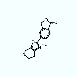 Cl.O=C1OCc2cc(-c3nc4c(o3)CNCC4)ccc21